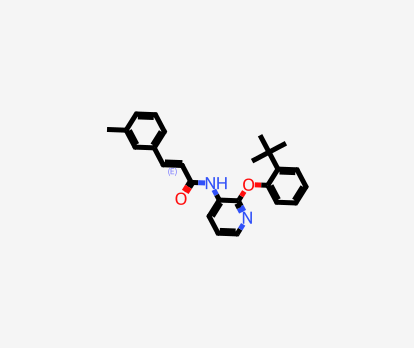 Cc1cccc(/C=C/C(=O)Nc2cccnc2Oc2ccccc2C(C)(C)C)c1